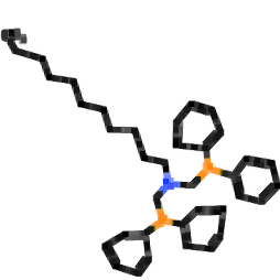 CCCCCCCCCCCN(CP(c1ccccc1)c1ccccc1)CP(c1ccccc1)c1ccccc1